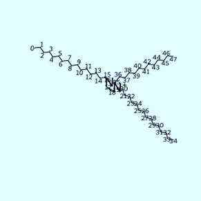 CCCCCCCCCCCCCCCCn1cc[n+](CCCCCCCCCCCCCCC)c1CCCCCCCCCCCC